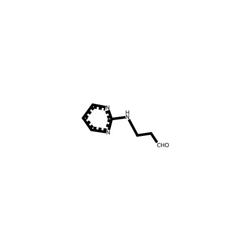 O=CCCNc1ncccn1